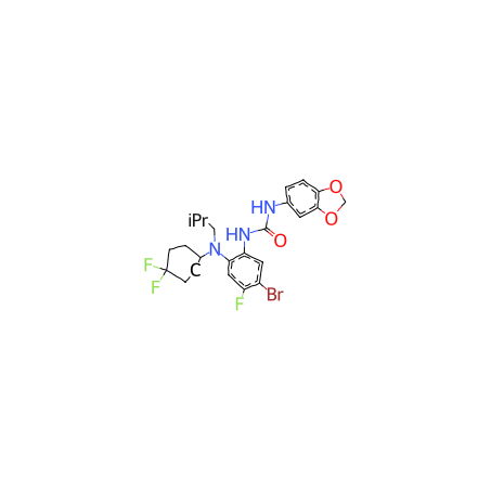 CC(C)CN(c1cc(F)c(Br)cc1NC(=O)Nc1ccc2c(c1)OCO2)C1CCC(F)(F)CC1